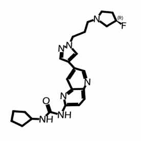 O=C(Nc1ccc2ncc(-c3cnn(CCCN4CC[C@@H](F)C4)c3)cc2n1)NC1CCCC1